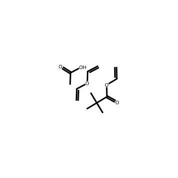 C=COC(=O)C(C)(C)C.C=COC=C.CC(=O)O